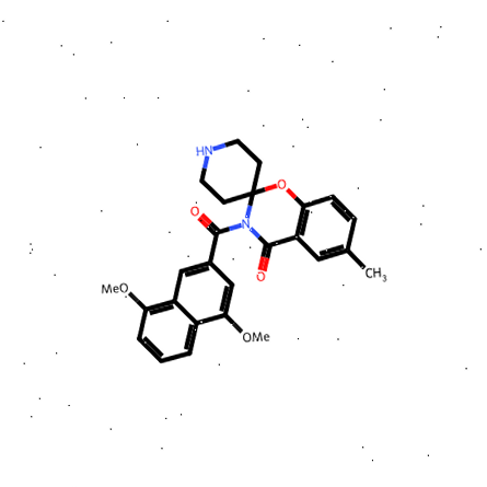 COc1cc(C(=O)N2C(=O)c3cc(C)ccc3OC23CCNCC3)cc2c(OC)cccc12